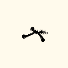 CC(C)(C)[Si](C)(C)OCC(CCCCOCc1ccccc1)C1=CC2C(C1)C[C@@H](OC1CCCCO1)[C@@H]2C=CCCCCCCOC1CCCCO1